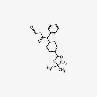 CC(C)(C)OC(=O)N1CCC(C(C(=O)CC=O)c2ccccc2)CC1